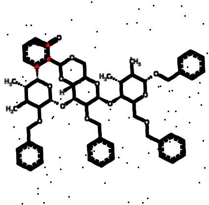 CC1[C@H](OCc2ccccc2)OC(COCc2ccccc2)[C@@H](O[C@@H]2OC3COC(c4ccccc4)O[C@H]3[C@H](O[C@H]3O[C@@H](COP(=O)=O)[C@@H](C)C(C)C3OCc3ccccc3)C2OCc2ccccc2)[C@@H]1C